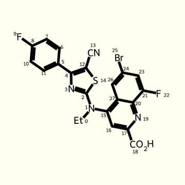 CCN(c1nc(-c2ccc(F)cc2)c(C#N)s1)c1cc(C(=O)O)nc2c(F)cc(Br)cc12